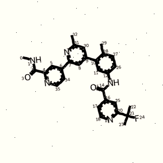 CNC(=O)c1cc(-c2cc(-c3cc(NC(=O)c4ccnc(C(C)(C)F)c4)ccc3C)cc(C)n2)ccn1